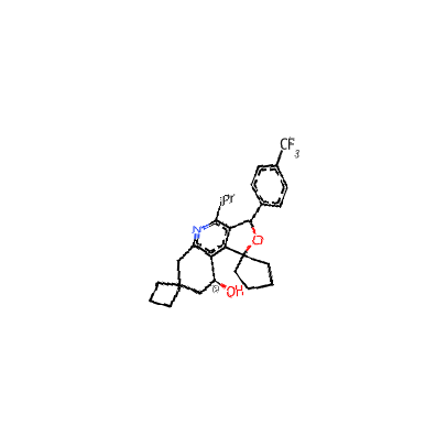 CC(C)c1nc2c(c3c1C(c1ccc(C(F)(F)F)cc1)OC31CCCC1)[C@@H](O)CC1(CCC1)C2